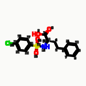 O=C(O)[C@H](CCc1ccccc1)NS(=O)(=O)c1ccc(Cl)cc1